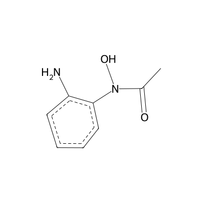 CC(=O)N(O)c1ccccc1N